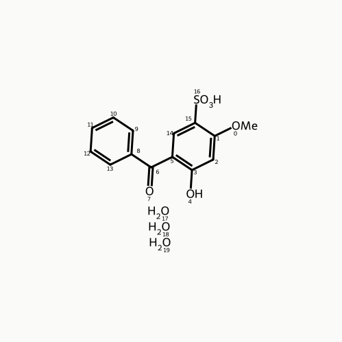 COc1cc(O)c(C(=O)c2ccccc2)cc1S(=O)(=O)O.O.O.O